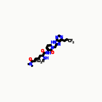 CN(C)C(=O)C=CCCC(NC(=O)O)C(=O)Nc1cccn(Cc2nc3c(CCC(F)(F)F)ncnc3[nH]2)c1=O